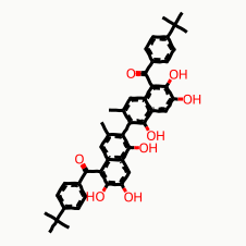 Cc1cc2c(C(=O)c3ccc(C(C)(C)C)cc3)c(O)c(O)cc2c(O)c1-c1c(C)cc2c(C(=O)c3ccc(C(C)(C)C)cc3)c(O)c(O)cc2c1O